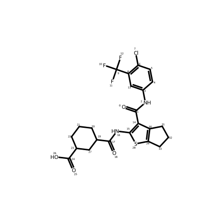 O=C(Nc1ccc(Cl)c(C(F)(F)F)c1)c1c(NC(=O)C2CCCC(C(=O)O)C2)sc2c1CCC2